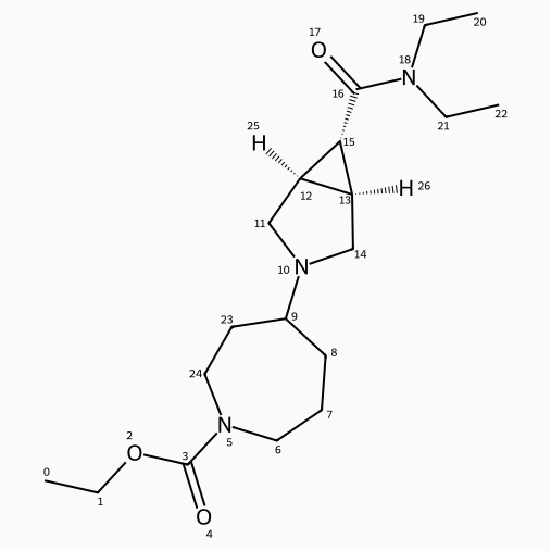 CCOC(=O)N1CCCC(N2C[C@@H]3[C@H](C2)[C@H]3C(=O)N(CC)CC)CC1